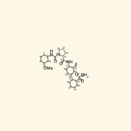 COc1cccc(NC(=O)N2CCCC2C(=O)Nc2ccc(-c3ccccc3S(N)(=O)=O)cc2F)c1